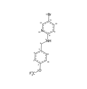 FC(F)(F)Oc1ccc(CNc2ccc(Br)cn2)cc1